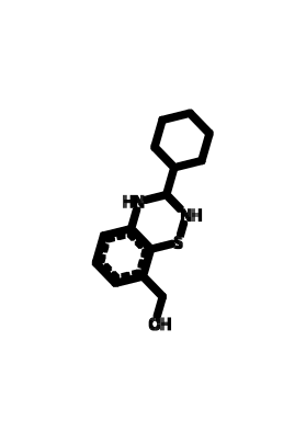 OCc1cccc2c1SNC(C1CCCCC1)N2